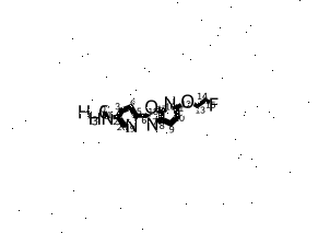 CNc1ccc(-c2nc3ccc(OCCF)nc3o2)nc1